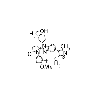 COc1ccc(N2C(=O)CC[C@H]2c2nc3cc(-c4c(C)noc4C)ccc3n2C2CCC(C)(O)CC2)cc1F